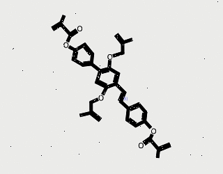 C=C(C)COc1cc(-c2ccc(OC(=O)C(=C)C)cc2)c(OCC(=C)C)cc1/C=C/c1ccc(OC(=O)C(=C)C)cc1